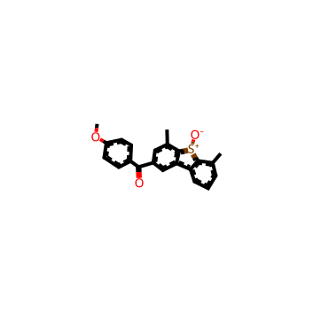 COc1ccc(C(=O)c2cc(C)c3c(c2)c2cccc(C)c2[s+]3[O-])cc1